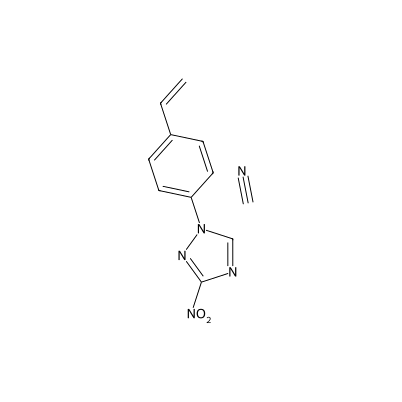 C#N.C=Cc1ccc(-n2cnc([N+](=O)[O-])n2)cc1